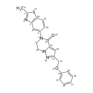 Cc1nc2cc(N3CCn4nc(COc5ccccc5)cc4C3=O)ccc2s1